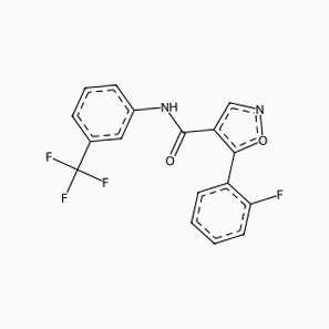 O=C(Nc1cccc(C(F)(F)F)c1)c1cnoc1-c1ccccc1F